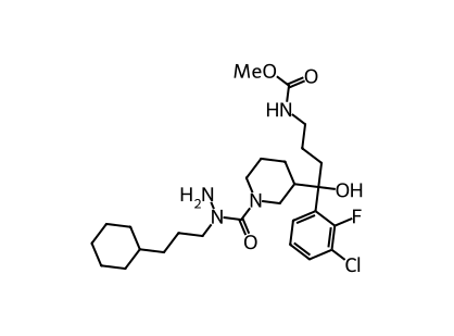 COC(=O)NCCCC(O)(c1cccc(Cl)c1F)C1CCCN(C(=O)N(N)CCCC2CCCCC2)C1